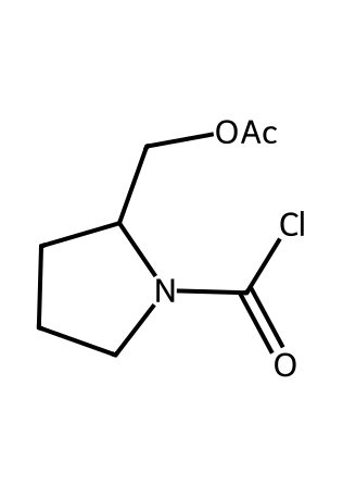 CC(=O)OCC1CCCN1C(=O)Cl